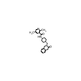 Cc1cnc(C)c(C(=O)N[C@H]2CC[C@H](CN3Cc4ccccc4CC3=O)CC2)c1